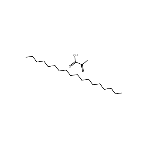 C=C(C)C(=O)O.CCCCCCCCCCCCCCCCCC